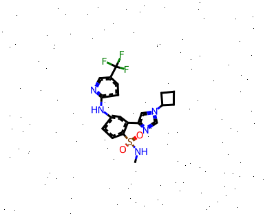 CNS(=O)(=O)c1ccc(Nc2ccc(C(F)(F)F)cn2)cc1-c1cn(C2CCC2)cn1